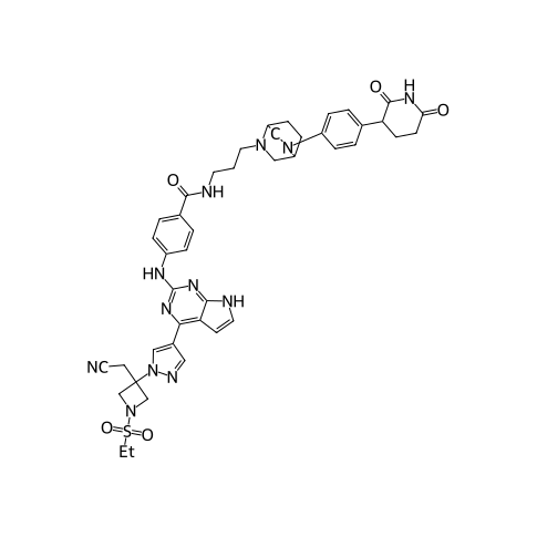 CCS(=O)(=O)N1CC(CC#N)(n2cc(-c3nc(Nc4ccc(C(=O)NCCCN5CC6CCC5CN6c5ccc(C6CCC(=O)NC6=O)cc5)cc4)nc4[nH]ccc34)cn2)C1